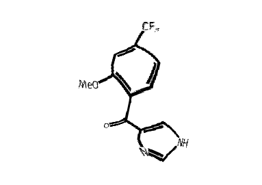 COc1cc(C(F)(F)F)ccc1C(=O)c1c[nH]cn1